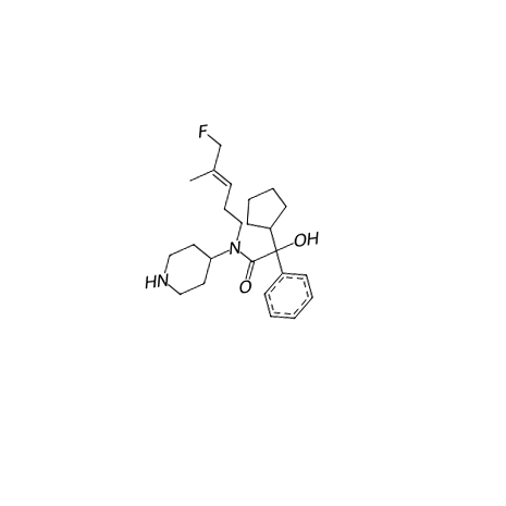 C/C(=C\CCN(C(=O)C(O)(c1ccccc1)C1CCCC1)C1CCNCC1)CF